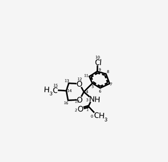 CC(=O)NC1(c2cccc(Cl)c2)OCC(C)CO1